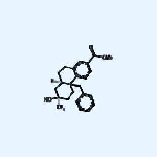 COC(=O)c1ccc2c(c1)CC[C@@H]1C[C@@](O)(C(F)(F)F)CC[C@@]21Cc1ccccc1